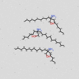 CCCCCCCCCCC(N)(CO)CCCCCCC.CCCCCCCCCCCC(N)(CO)CCCCCC.CCCCCCCCCCCCC(N)(CO)CCCCC